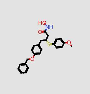 COc1ccc(SC(CC(=O)NO)Cc2ccc(OCc3ccccc3)cc2)cc1